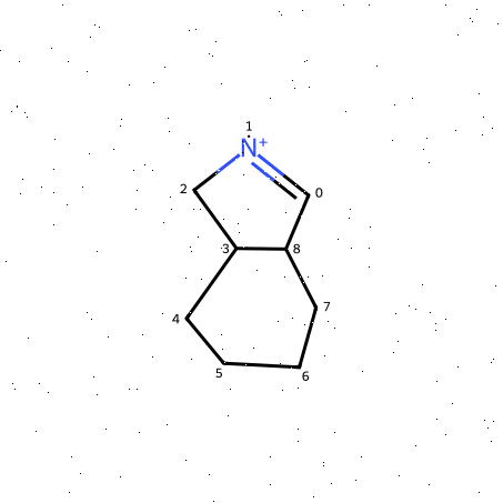 C1=[N+]CC2CCCCC12